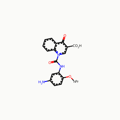 CCCOc1ccc(N)cc1NC(=O)n1cc(C(=O)O)c(=O)c2ccccc21